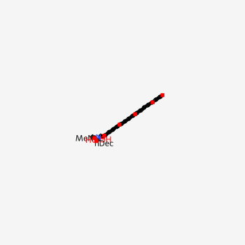 CC#CC#CC#CC#CC#CC#CC#CC#CC#CC#CC#CC#CC#CC#CC#CC(O)CN(CCCNC)CC(O)CCCCCCCCCC